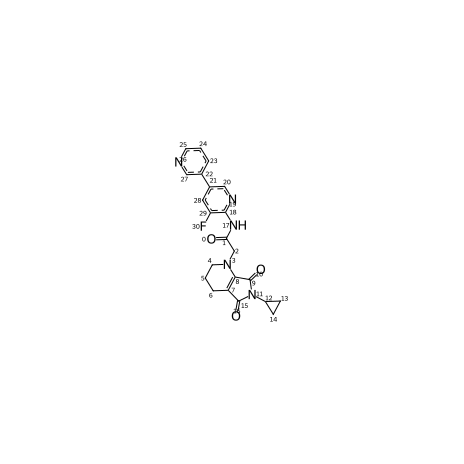 O=C(CN1CCCC2=C1C(=O)N(C1CC1)C2=O)Nc1ncc(-c2cccnc2)cc1F